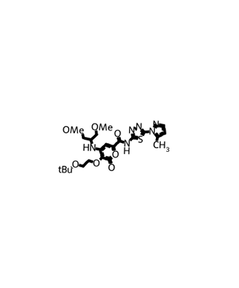 COCC(COC)Nc1cc(C(=O)Nc2nnc(-n3nccc3C)s2)oc(=O)c1OCCOC(C)(C)C